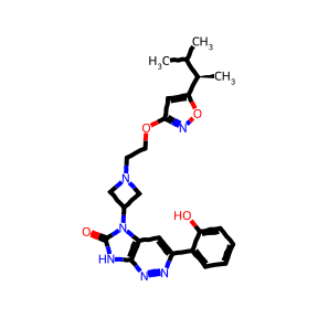 CC(C)[C@@H](C)c1cc(OCCN2CC(n3c(=O)[nH]c4nnc(-c5ccccc5O)cc43)C2)no1